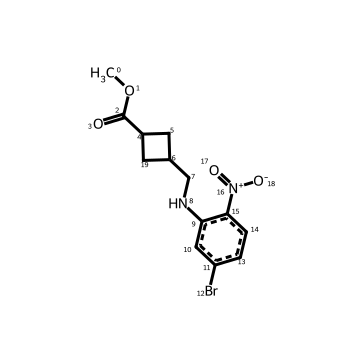 COC(=O)C1CC(CNc2cc(Br)ccc2[N+](=O)[O-])C1